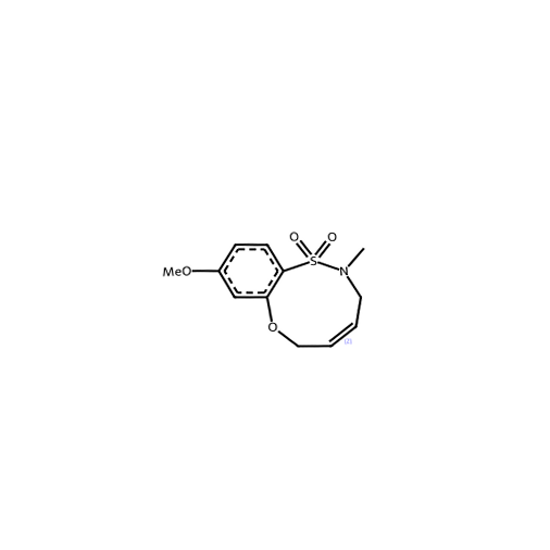 COc1ccc2c(c1)OC/C=C\CN(C)S2(=O)=O